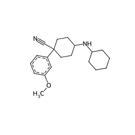 COc1cccc(C2(C#N)CCC(NC3CCCCC3)CC2)c1